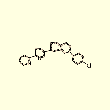 Clc1ccc(-c2ccc3ccc(-c4ccc(-c5ccccn5)nc4)cc3c2)cc1